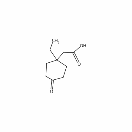 CCC1(CC(=O)O)CCC(=O)CC1